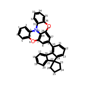 c1ccc2c(c1)Oc1cc(-c3cccc4c3-c3ccccc3C43CCCC3)cc3c1N2c1ccccc1O3